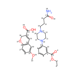 CCOC(=O)c1cccc(N2CCN(CCCC(N)=O)CC2)c1.COc1ccc2c(c1)C=C(C(=O)O)CO2